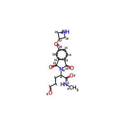 CNC(=O)C(CCC=O)N1C(=O)c2ccc(OC3CNC3)cc2C1=O